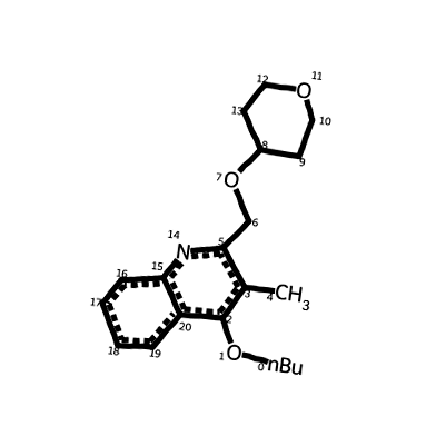 CCCCOc1c(C)c(COC2CCOCC2)nc2ccccc12